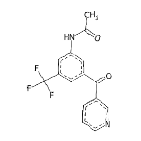 CC(=O)Nc1cc(C(=O)c2cccnc2)cc(C(F)(F)F)c1